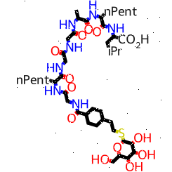 CCCCCC(NC(=O)CNC(=O)C1CCC(CCSC2OC(CO)C(O)C(O)C2O)CC1)C(=O)NCC(=O)NCC(=O)NC(C)C(=O)NC(CCCCC)C(=O)NC(CC(C)C)C(=O)O